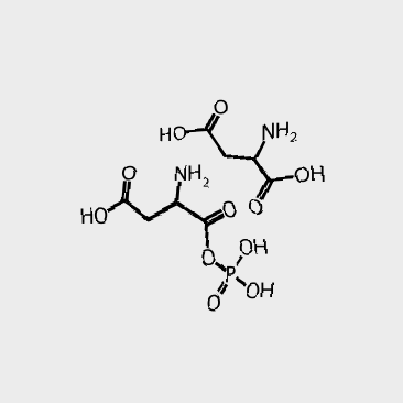 NC(CC(=O)O)C(=O)O.NC(CC(=O)O)C(=O)OP(=O)(O)O